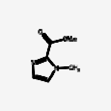 COC(=O)c1nccn1C